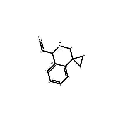 O=CC1NCC2(CC2)c2ccccc21